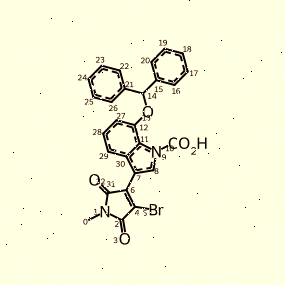 CN1C(=O)C(Br)=C(c2cn(C(=O)O)c3c(OC(c4ccccc4)c4ccccc4)cccc23)C1=O